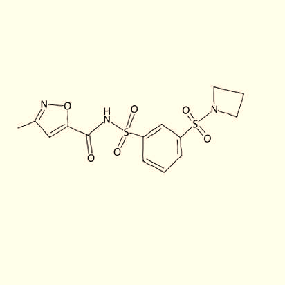 Cc1cc(C(=O)NS(=O)(=O)c2cccc(S(=O)(=O)N3CCC3)c2)on1